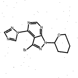 Brc1nn(C2CCCCO2)c2ncnc(-n3cncn3)c12